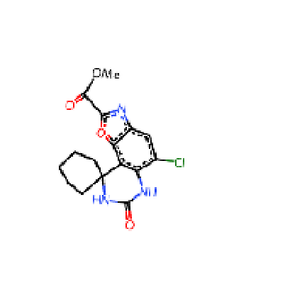 COC(=O)c1nc2cc(Cl)c3c(c2o1)C1(CCCCC1)NC(=O)N3